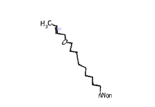 C/C=C/COCCCCCCCCCCCCCCCCCC